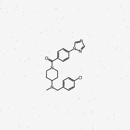 CN(Cc1ccc(Cl)cc1)C1CCN(C(=O)c2ccc(-n3cncn3)cc2)CC1